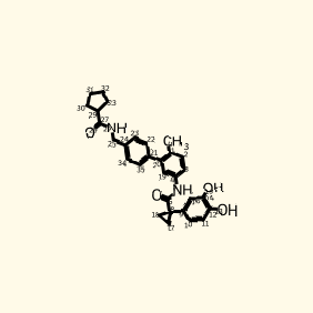 Cc1ccc(NC(=O)C2(c3ccc(O)c(O)c3)CC2)cc1-c1ccc(CNC(=O)C2CCCC2)cc1